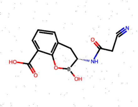 N#CCC(=O)N[C@H]1Cc2cccc(C(=O)O)c2OB1O